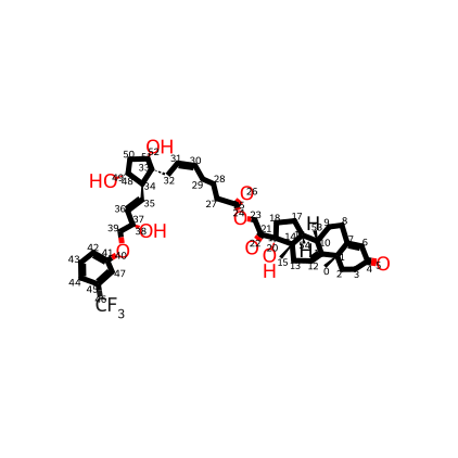 C[C@]12CCC(=O)C=C1CC[C@@H]1C2=CC[C@@]2(C)[C@H]1CC[C@]2(O)C(=O)COC(=O)CCC/C=C\C[C@@H]1[C@@H](/C=C/[C@@H](O)COc2cccc(C(F)(F)F)c2)[C@H](O)C[C@@H]1O